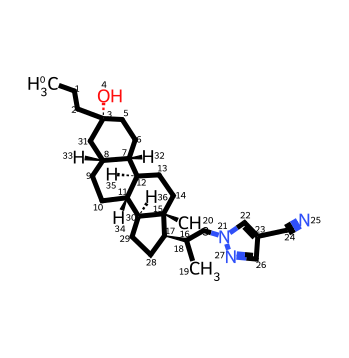 CCC[C@@]1(O)CC[C@H]2[C@H](CC[C@@H]3[C@@H]2CC[C@]2(C)[C@@H](C(C)Cn4cc(C#N)cn4)CC[C@@H]32)C1